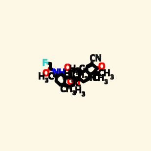 CC1(C)C(=O)C(C#N)=C[C@]2(C)C3=CC(=O)[C@]4(O)[C@@H]5C[C@@](C)(NC(=O)CF)CC[C@]5(C)CC[C@@]4(C)[C@]3(C)CC[C@@H]12